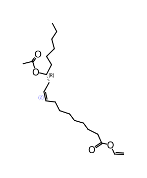 C=COC(=O)CCCCCCC/C=C\C[C@@H](CCCCCC)OC(C)=O